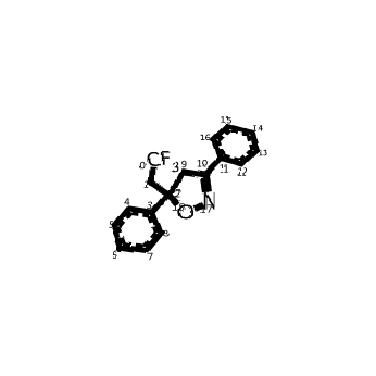 FC(F)(F)CC1(c2ccccc2)CC(c2ccccc2)=NO1